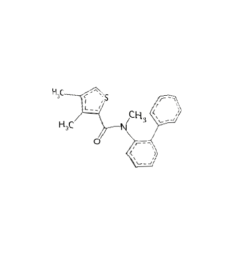 Cc1csc(C(=O)N(C)c2ccccc2-c2ccccc2)c1C